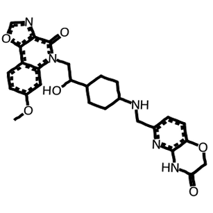 COc1ccc2c3ocnc3c(=O)n(CC(O)C3CCC(NCc4ccc5c(n4)NC(=O)CO5)CC3)c2c1